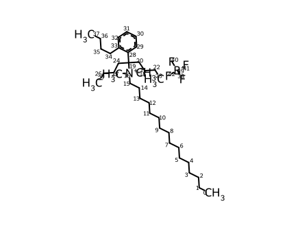 CCCCCCCCCCCCCCCC[N+](C)(C)C(CCCC)(CCCC)c1ccccc1CCCC.F[B-](F)(F)F